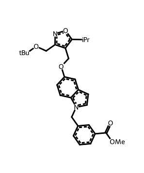 COC(=O)c1cccc(Cn2ccc3cc(OCc4c(COC(C)(C)C)noc4C(C)C)ccc32)c1